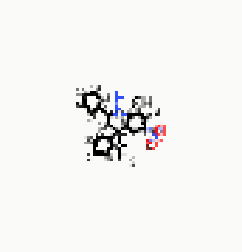 Cc1cc([N+](=O)[O-])cc2c1NC(c1ccccc1)CC2(C)c1ccccc1